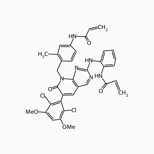 C=CC(=O)Nc1ccc(Cn2c(=O)c(-c3c(Cl)c(OC)cc(OC)c3Cl)cc3cnc(Nc4ccccc4NC(=O)C=C)nc32)c(C)c1